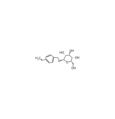 C=Cc1ccc(CO[C@@H]2O[C@H](CO)[C@@H](O)[C@H](O)[C@H]2O)cc1